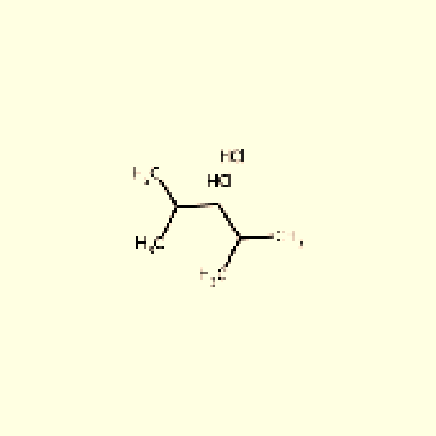 CC(C)CC(C)C.Cl.Cl